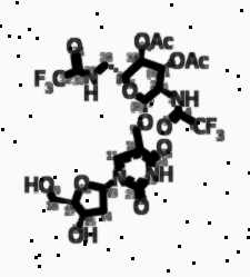 CC(=O)O[C@@H]1[C@@H](NC(=O)C(F)(F)F)[C@H](OCc2cn([C@H]3C[C@@H](O)[C@@H](CO)O3)c(=O)[nH]c2=O)O[C@H](CNC(=O)C(F)(F)F)[C@H]1OC(C)=O